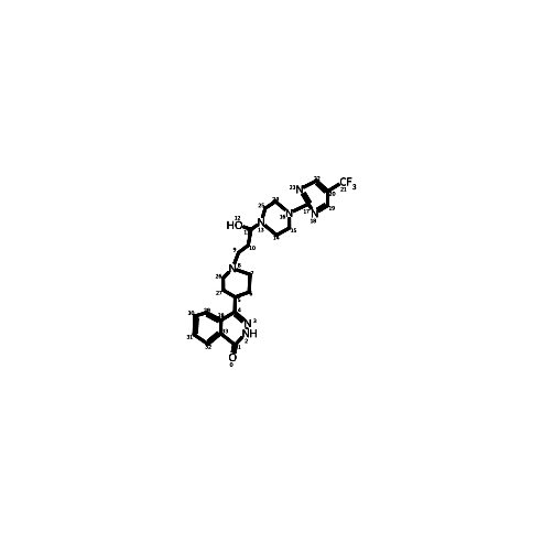 O=c1[nH]nc(C2CCN(CCC(O)N3CCN(c4ncc(C(F)(F)F)cn4)CC3)CC2)c2ccccc12